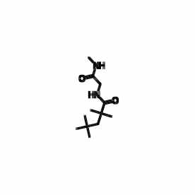 CNC(=O)CNC(=O)C(C)(C)CC(C)(C)C